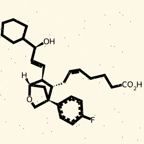 O=C(O)CCC/C=C\C[C@H]1[C@H](/C=C/[C@H](O)C2CCCCC2)[C@@H]2C[C@@]1(c1ccc(F)cc1)CO2